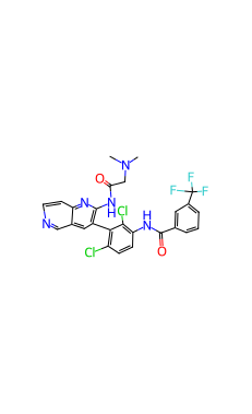 CN(C)CC(=O)Nc1nc2ccncc2cc1-c1c(Cl)ccc(NC(=O)c2cccc(C(F)(F)F)c2)c1Cl